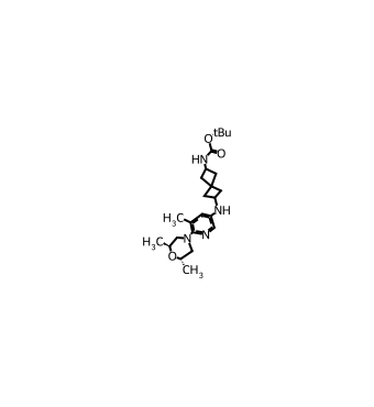 Cc1cc(NC2CC3(CC(NC(=O)OC(C)(C)C)C3)C2)cnc1N1C[C@H](C)O[C@@H](C)C1